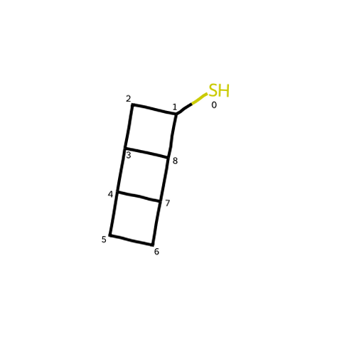 SC1CC2C3CCC3C12